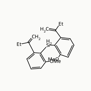 C=C(CC)c1cccc(OC)c1[SiH2]c1c(OC)cccc1C(=C)CC